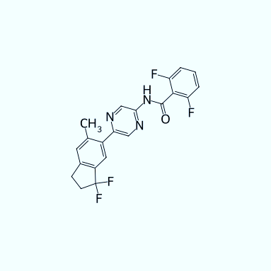 Cc1cc2c(cc1-c1cnc(NC(=O)c3c(F)cccc3F)cn1)C(F)(F)CC2